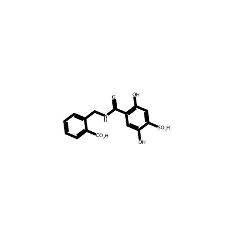 O=C(NCc1ccccc1C(=O)O)c1cc(O)c(S(=O)(=O)O)cc1O